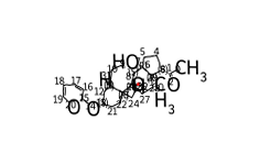 CC(=O)[C@H]1CC[C@]2(O)[C@@]34CC[C@H]5C[C@@H](OC6C=CC=CO6)CC[C@]5(CO3)[C@H]4CC[C@]12C